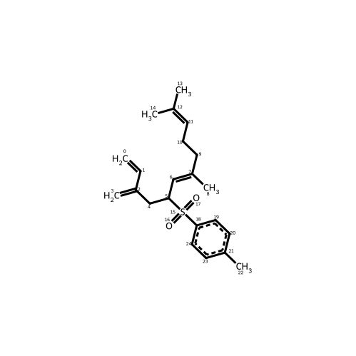 C=CC(=C)CC(/C=C(\C)CCC=C(C)C)S(=O)(=O)c1ccc(C)cc1